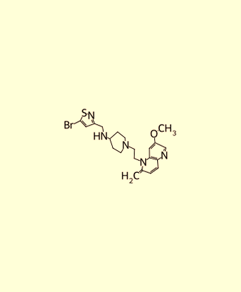 C=C1C=Cc2ncc(OC)cc2N1CCN1CCC(NCc2cc(Br)sn2)CC1